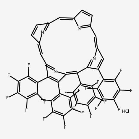 Cl.Fc1c(F)c(F)c(C2=CC3=CC4=NC(=CC5=NC(=CC6=NC(=C(c7c(F)c(F)c(F)c(F)c7F)C2=N3)C(c2c(F)c(F)c(F)c(F)c2F)=C6c2c(F)c(F)c(F)c(F)c2F)C=C5)C=C4)c(F)c1F